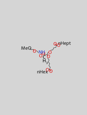 CCCCCCCOC(=O)CCCCOCC(OCCCCCCC(=O)OCCCCCC)C(C)OC(=O)NCCOCCOC